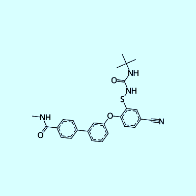 CNC(=O)c1ccc(-c2cccc(Oc3ccc(C#N)cc3SNC(=O)NC(C)(C)C)c2)cc1